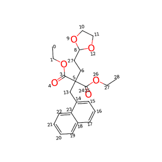 CCOC(=O)C(CCC1OCCO1)(Cc1cccc2ccccc12)C(=O)OCC